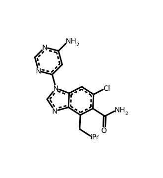 CC(C)Cc1c(C(N)=O)c(Cl)cc2c1ncn2-c1cc(N)ncn1